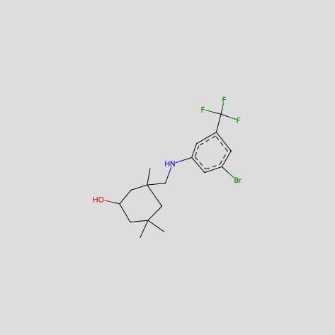 CC1(C)CC(O)CC(C)(CNc2cc(Br)cc(C(F)(F)F)c2)C1